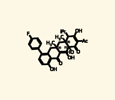 CC(=O)C1=C(O)C(C(C)C)[C@@]2(C)C[C@@]3(C)Cc4c(-c5ccc(F)cc5)ccc(O)c4C(=O)C3=C(O)[C@@]2(O)C1=O